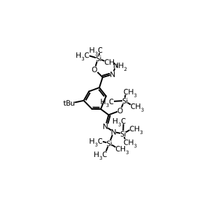 CC(C)(C)c1cc(C(=NN)O[Si](C)(C)C)cc(C(=NN([Si](C)(C)C)[Si](C)(C)C)O[Si](C)(C)C)c1